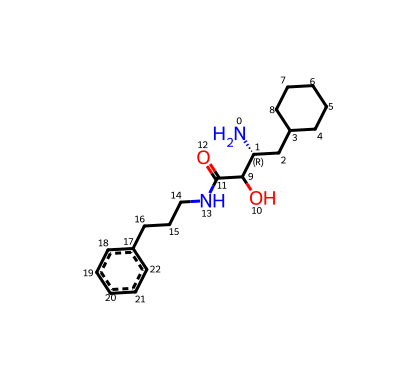 N[C@H](CC1CCCCC1)C(O)C(=O)NCCCc1ccccc1